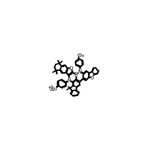 CC(C)(C)c1ccc(N2B3c4oc5cc6c(cc5c4N(c4ccc(C(C)(C)C)cc4)c4c3c(cc3c4C(C)(C)c4ccccc4-3)-c3cc4oc5ccccc5c4cc32)C(C)(C)CCC6(C)C)cc1